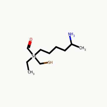 C[CH2][Sn]([CH]=O)([CH2]S)[CH2]CCCC(C)N